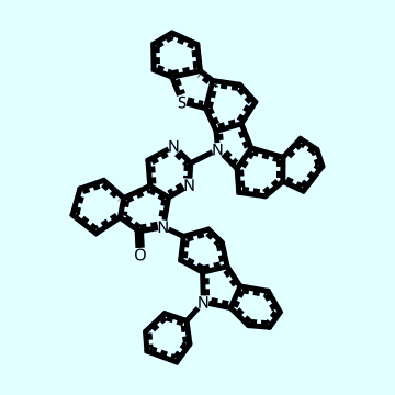 O=c1c2ccccc2c2cnc(-n3c4ccc5ccccc5c4c4ccc5c6ccccc6sc5c43)nc2n1-c1ccc2c3ccccc3n(-c3ccccc3)c2c1